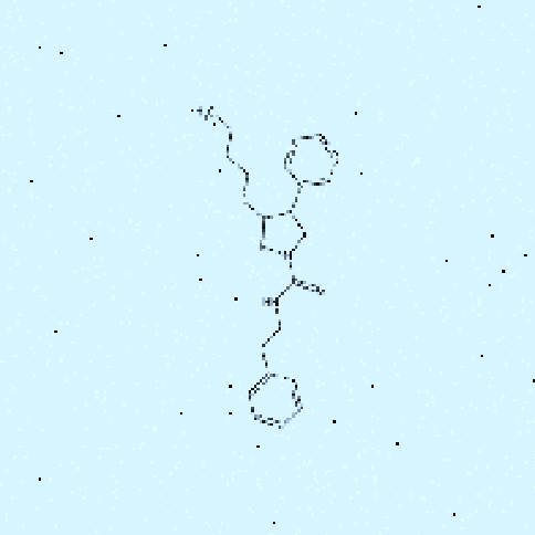 CCCCCC1=NN(C(=O)NCCc2ccccc2)CC1c1ccccc1